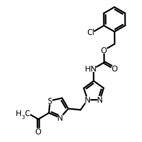 CC(=O)c1nc(Cn2cc(NC(=O)OCc3ccccc3Cl)cn2)cs1